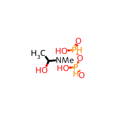 CNC(C)O.O=[PH](O)O[PH](=O)O